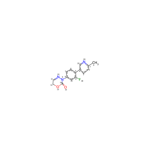 Cc1ccc(-c2ccc(N3N=CCOC3=O)cc2F)cn1